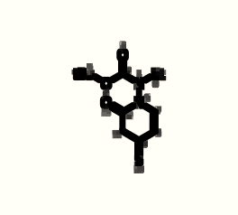 CCN(C(=O)OC(C)(C)C)N1C=CC(=S)CC1=O